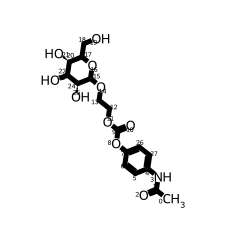 CC(=O)Nc1ccc(OC(=O)OCCOC2OC(CO)[C@@H](O)C(O)[C@H]2O)cc1